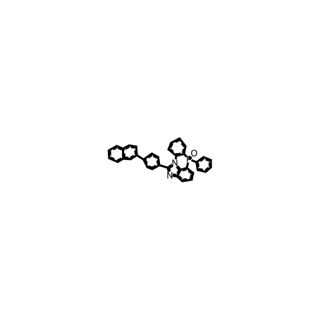 O=P1(c2ccccc2)c2ccccc2-n2c(-c3ccc(-c4ccc5ccccc5c4)cc3)nc3cccc1c32